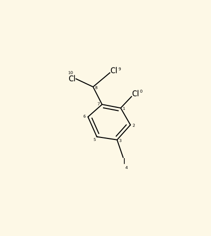 Clc1cc(I)ccc1C(Cl)Cl